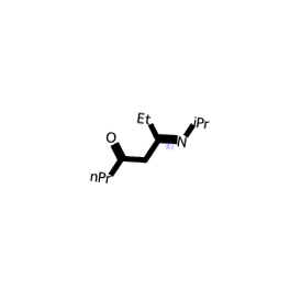 CCCC(=O)C/C(CC)=N/C(C)C